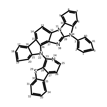 c1ccc(-n2c3ccccc3n3c4ccc5c6ccccc6n(-c6nccc7c6sc6ccccc67)c5c4nc23)cc1